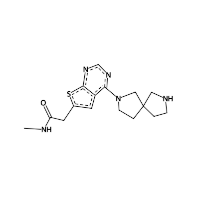 CNC(=O)Cc1cc2c(N3CCC4(CCNC4)C3)ncnc2s1